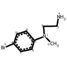 CN(CCN)c1ccc(Br)cc1